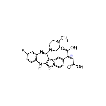 CN1CCN(C2=Nc3cc(F)ccc3Nc3sc4ccc(/C(=C\C(=O)O)C(=O)O)cc4c32)CC1